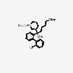 COCCCC[C@@](O)(c1ccccc1-c1ccccc1Cl)C1CCCN(C(=O)O)C1